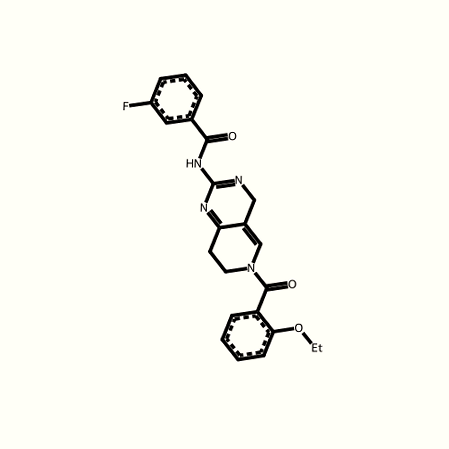 CCOc1ccccc1C(=O)N1C=C2CN=C(NC(=O)c3cccc(F)c3)N=C2CC1